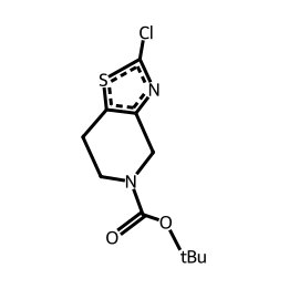 CC(C)(C)OC(=O)N1CCc2sc(Cl)nc2C1